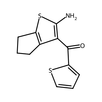 Nc1sc2c(c1C(=O)c1cccs1)CCC2